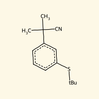 CC(C)(C)Sc1cccc(C(C)(C)C#N)c1